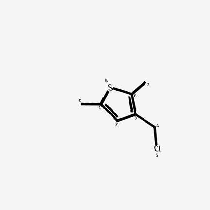 Cc1cc(CCl)c(C)s1